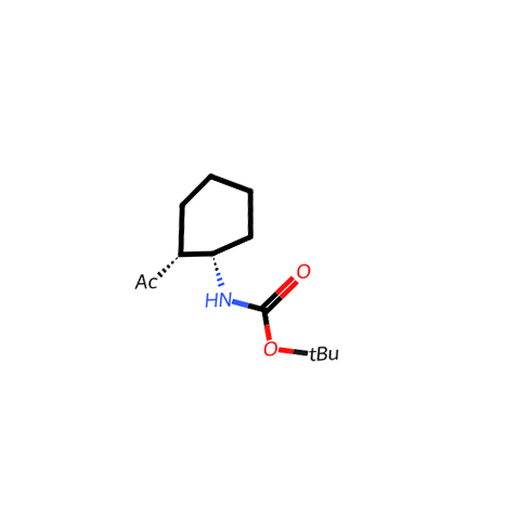 CC(=O)[C@@H]1CCCC[C@@H]1NC(=O)OC(C)(C)C